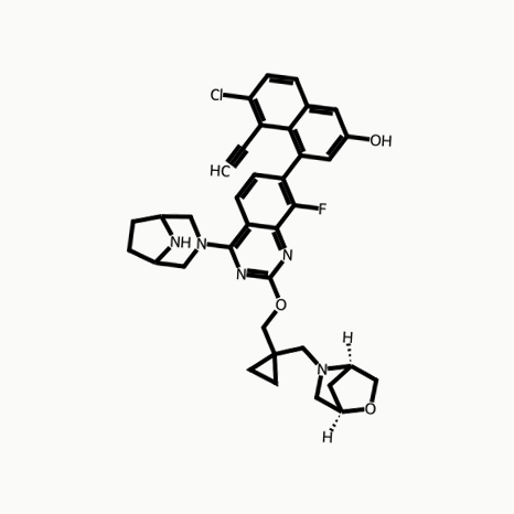 C#Cc1c(Cl)ccc2cc(O)cc(-c3ccc4c(N5CC6CCC(C5)N6)nc(OCC5(CN6C[C@H]7C[C@@H]6CO7)CC5)nc4c3F)c12